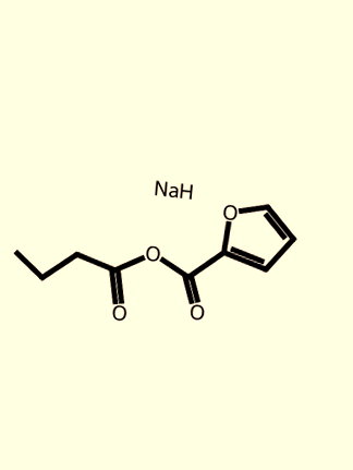 CCCC(=O)OC(=O)c1ccco1.[NaH]